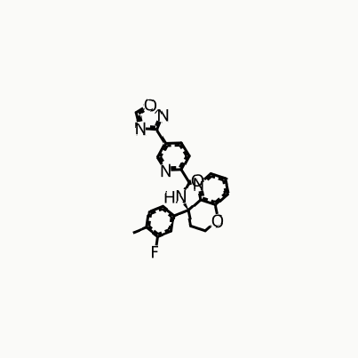 Cc1ccc([C@@]2(NC(=O)c3ccc(-c4ncon4)cn3)CCOc3cccnc32)cc1F